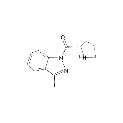 Cc1nn(C(=O)[C@@H]2CCCN2)c2ccccc12